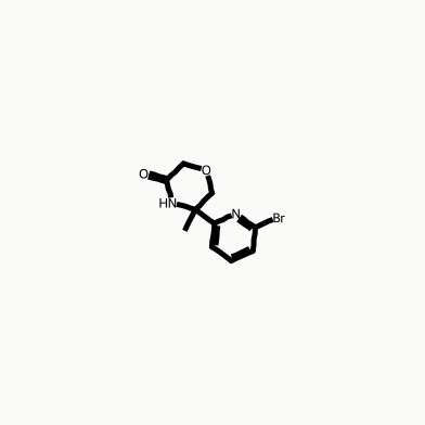 CC1(c2cccc(Br)n2)COCC(=O)N1